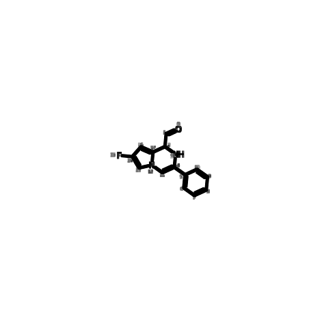 O=CC1NC(c2ccccc2)=Cn2cc(F)cc21